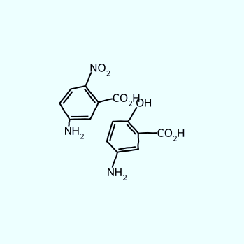 Nc1ccc(O)c(C(=O)O)c1.Nc1ccc([N+](=O)[O-])c(C(=O)O)c1